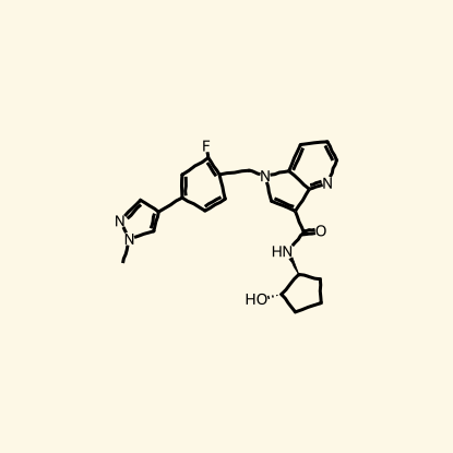 Cn1cc(-c2ccc(Cn3cc(C(=O)N[C@H]4CCC[C@@H]4O)c4ncccc43)c(F)c2)cn1